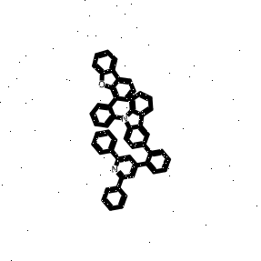 c1ccc(-c2cc(-c3ccccc3-c3ccc4c(c3)c3ccccc3n4-c3ccccc3-c3cccc4c3oc3ccccc34)cc(-c3ccccc3)n2)cc1